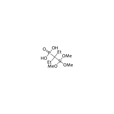 CCC(CC)([Si](OC)(OC)OC)P(=O)(O)O